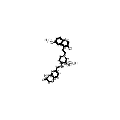 COc1ccc2ncc(Cl)c(CCN3CC[C@H](NCc4ccc5c(n4)NC(=O)CO5)[C@H](O)C3)c2c1.Cl.Cl